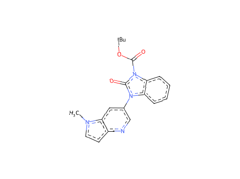 Cn1ccc2ncc(-n3c(=O)n(C(=O)OC(C)(C)C)c4ccccc43)cc21